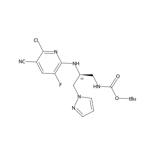 CC(C)(C)OC(=O)NC[C@@H](Cn1cccn1)Nc1nc(Cl)c(C#N)cc1F